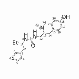 CC[C@@H](Cc1ccsc1)NC(=O)NC[C@H](Cc1ccc(O)cc1)N(C)C